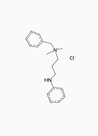 C[N+](C)(CCCNc1ccccc1)Cc1ccccc1.[Cl-]